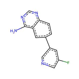 Nc1ncnc2ccc(-c3cncc(F)c3)cc12